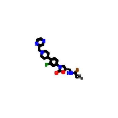 CC(=S)NC[C@H]1CN(c2ccc(C3CCN(Cc4cnccn4)CC3)c(F)c2)C(=O)O1